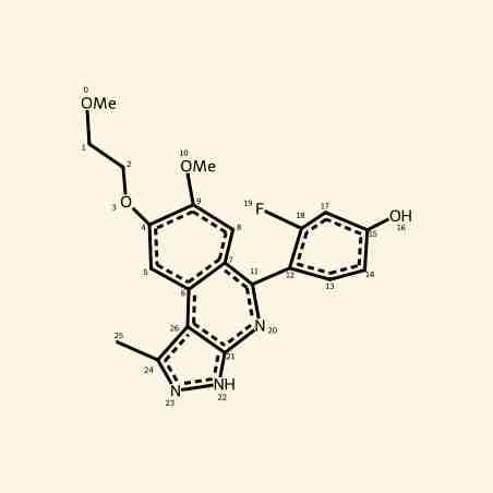 COCCOc1cc2c(cc1OC)c(-c1ccc(O)cc1F)nc1[nH]nc(C)c12